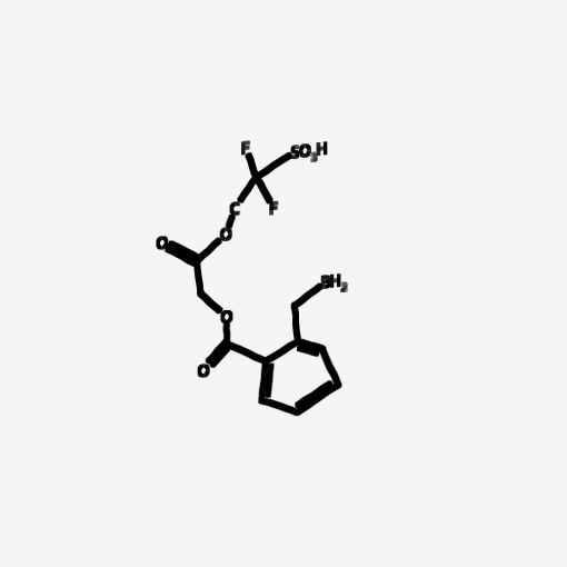 BCc1ccccc1C(=O)OCC(=O)OCC(F)(F)S(=O)(=O)O